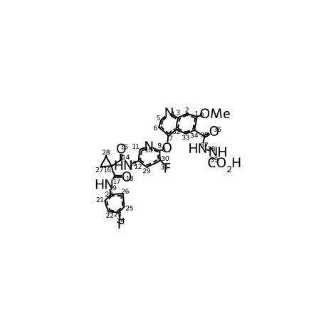 COc1cc2nccc(Oc3ncc(NC(=O)C4(C(=O)Nc5ccc(F)cc5)CC4)cc3F)c2cc1C(=O)NNC(=O)O